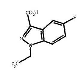 O=C(O)c1nn(CC(F)(F)F)c2ccc(F)cc12